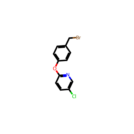 Clc1ccc(Oc2ccc(CBr)cc2)nc1